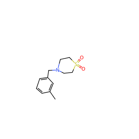 Cc1cccc(CN2CCS(=O)(=O)CC2)c1